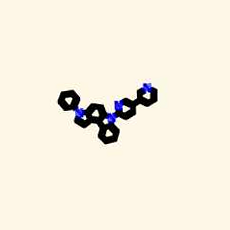 c1ccc(-n2ccc3c4c5ccccc5n(-c5ccc(-c6cccnc6)cn5)c4ccc32)cc1